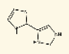 C1=CNC(C2=CNCN2)[N]1